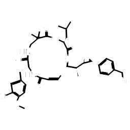 COc1ccc(C[C@H]2NC(=O)C=CC[C@@H]([C@H](C)[C@H]3O[C@@H]3c3ccc(CS)cc3)OC(=O)[C@H](CC(C)C)OC(=O)C(C)(C)CNC2=O)cc1Cl